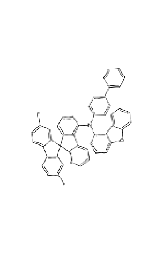 Fc1ccc2c(c1)C1(c3cc(F)ccc3-2)c2ccccc2-c2c(N(c3ccc(-c4ccccc4)cc3)c3cccc4oc5ccccc5c34)cccc21